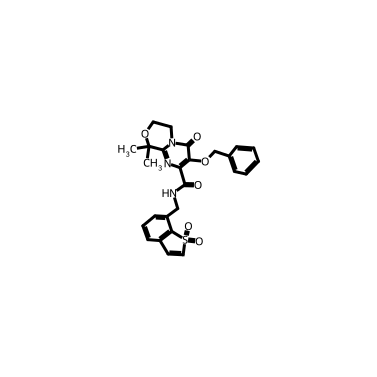 CC1(C)OCCn2c1nc(C(=O)NCc1cccc3c1S(=O)(=O)C=C3)c(OCc1ccccc1)c2=O